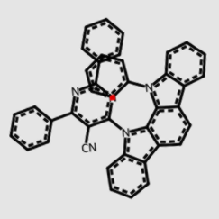 N#Cc1c(-c2ccccc2)nc(-c2ccccc2)nc1-n1c2ccccc2c2ccc3c4ccccc4n(-c4ccccc4)c3c21